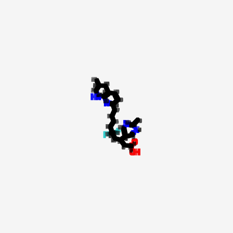 Cc1ncc(C(CC(=O)O)CC(F)(F)CCCCc2ccc3c(n2)NCC(C)C3)cn1